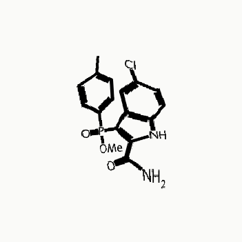 COP(=O)(c1ccc(C)cc1)c1c(C(N)=O)[nH]c2ccc(Cl)cc12